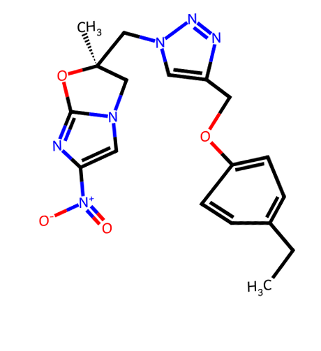 CCc1ccc(OCc2cn(C[C@@]3(C)Cn4cc([N+](=O)[O-])nc4O3)nn2)cc1